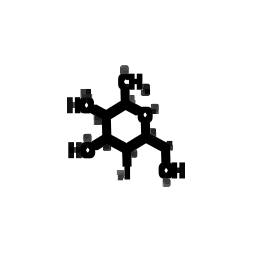 CC1OC(CO)C(I)C(O)C1O